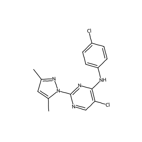 Cc1cc(C)n(-c2ncc(Cl)c(Nc3ccc(Cl)cc3)n2)n1